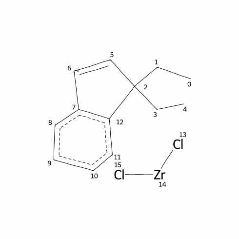 CCC1(CC)C=[C]c2ccccc21.[Cl][Zr][Cl]